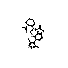 CC(=O)N1CCCCC1C1COc2c(-c3c(C)noc3C)ccc3[nH]c(=O)n1c23